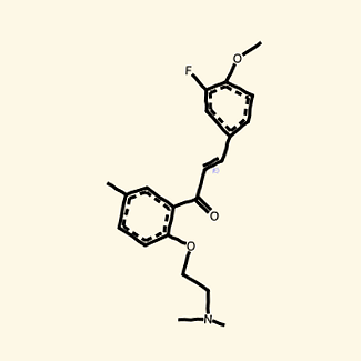 COc1ccc(/C=C/C(=O)c2cc(C)ccc2OCCN(C)C)cc1F